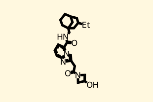 CCC1CC2CCCC(CNC(=O)c3cccc4nc(CC(=O)N5CC(O)C5)cn34)(C1)C2